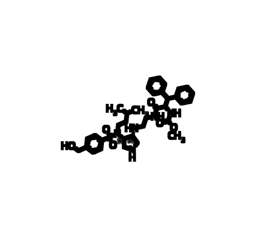 COC(=O)NC(C(=O)NCCN[C@@H]1CNC[C@H]1N(CCC(C)C)S(=O)(=O)c1ccc(CO)cc1)C(c1ccccc1)c1ccccc1